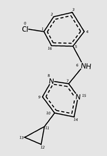 Clc1cccc(Nc2ncc(C3CC3)cn2)c1